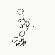 CCCc1c(C)n(C(=O)Cc2ccccc2)c(=O)n1Cc1ccc(-c2ccccc2-c2nnn[nH]2)cc1